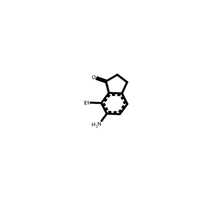 CCc1c(N)ccc2c1C(=O)CC2